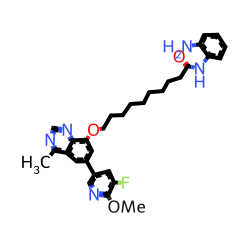 COc1ncc(-c2cc(OCCCCCCCCCC(=O)Nc3ccccc3N)c3ncnc(C)c3c2)cc1F